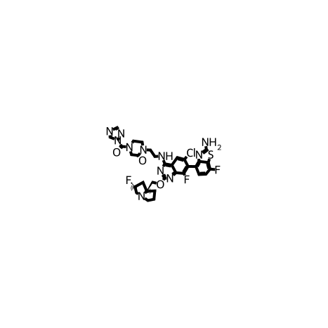 Nc1nc2c(-c3c(Cl)cc4c(NCCN5CCN(C(=O)n6cncn6)CC5=O)nc(OC[C@@]56CCCN5C[C@H](F)C6)nc4c3F)ccc(F)c2s1